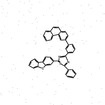 c1ccc(-c2nc(-c3cccc(-c4ccc5ccc6ccccc6c5c4)c3)nc(-c3ccc4c(c3)sc3ccccc34)n2)cc1